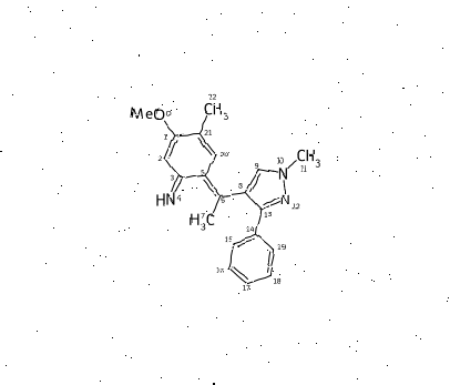 COC1=CC(=N)/C(=C(\C)c2cn(C)nc2-c2ccccc2)C=C1C